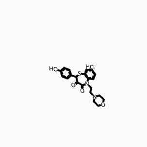 Cl.O=C1C(=O)N(CCN2CCOCC2)c2ccccc2SC1c1ccc(O)cc1